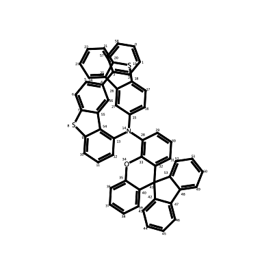 c1ccc(-c2ccc3sc4cccc(N(c5ccc6sc7ccccc7c6c5)c5cccc6c5Oc5ccccc5C65c6ccccc6-c6ccccc65)c4c3c2)cc1